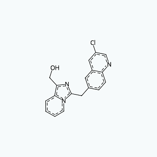 OCc1nc(Cc2ccc3ncc(Cl)cc3c2)n2ccccc12